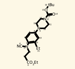 CCOC(=O)CCN(C#N)c1ccc(N2CCN(C(=O)OC(C)(C)C)CC2)cc1CC